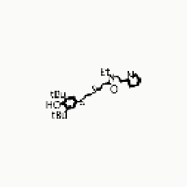 CCN(CCc1ccccn1)C(=O)CCSCCSc1cc(C(C)(C)C)c(O)c(C(C)(C)C)c1